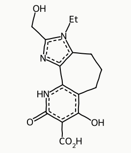 CCn1c(CO)nc2c1CCCc1c-2[nH]c(=O)c(C(=O)O)c1O